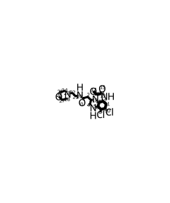 O=C(CC1CNc2c(Cl)c(Cl)cc3[nH]c(=O)c(=O)n1c23)NCCN1CCOCC1